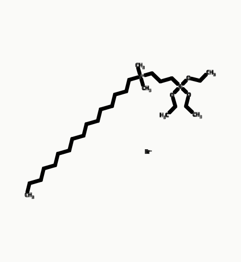 CCCCCCCCCCCCCCCC[N+](C)(C)CCC[Si](OCC)(OCC)OCC.[Br-]